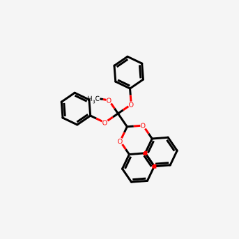 COC(Oc1ccccc1)(Oc1ccccc1)C(Oc1ccccc1)Oc1ccccc1